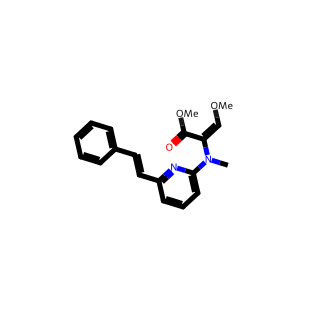 COC=C(C(=O)OC)N(C)c1cccc(C=Cc2ccccc2)n1